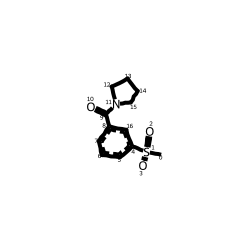 CS(=O)(=O)c1cccc(C(=O)N2CCCC2)c1